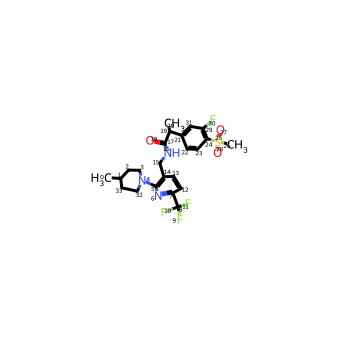 CC1CCN(c2nc(C(F)(F)F)ccc2CNC(=O)C(C)c2ccc(S(C)(=O)=O)c(F)c2)CC1